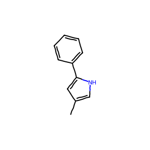 Cc1c[nH]c(-c2ccccc2)c1